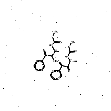 C[C@H](NC(=O)OC(C)(C)C)C(=O)C(=O)c1cnccn1.C[C@H](NC(=O)OC(C)(C)C)C(O)C(=O)c1cnccn1